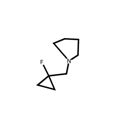 FC1(CN2CCCC2)CC1